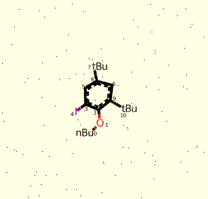 CCCCOc1c(I)cc(C(C)(C)C)cc1C(C)(C)C